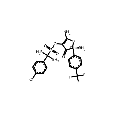 BC(B)(c1ccc(Cl)cc1)S(=O)(=O)OC1=C(N)O[C@](B)(c2ccc(C(F)(F)F)cc2)C1=O